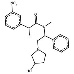 CN(C(=O)C(Cl)c1cccc([N+](=O)[O-])c1)C(CN1CCC(O)C1)c1ccccc1